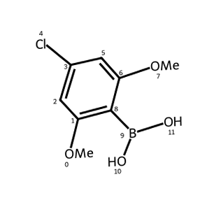 COc1cc(Cl)cc(OC)c1B(O)O